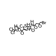 CC1S[C@@H]2C(NC(=O)CC(=O)CBr)C(=O)N2C=C1C(=O)OCC(Cl)(Cl)Cl